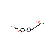 C=CCOc1ccc(-c2ccc(/C=C/CCCC(C)O)cc2)cc1F